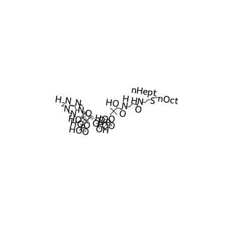 CCCCCCCCC(CCCCCCC)SCCNC(=O)CCNC(=O)C(O)C(C)(C)COP(=O)(O)OP(=O)(O)OC[C@H]1O[C@@H](n2cnc3c(N)ncnc32)[C@H](O)[C@@H]1OP(=O)(O)O